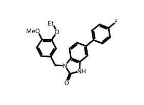 CCOc1cc(Cn2c(=O)[nH]c3cc(-c4ccc(F)cc4)ccc32)ccc1OC